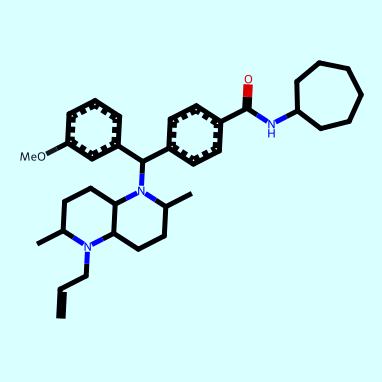 C=CCN1C(C)CCC2C1CCC(C)N2C(c1ccc(C(=O)NC2CCCCCC2)cc1)c1cccc(OC)c1